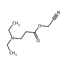 CCN(CC)CCC(=O)OCC#N